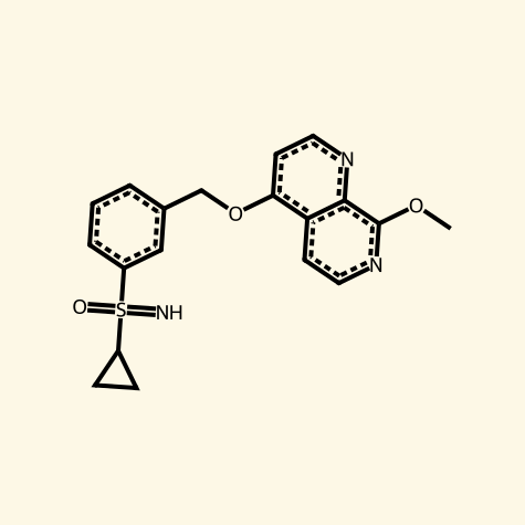 COc1nccc2c(OCc3cccc(S(=N)(=O)C4CC4)c3)ccnc12